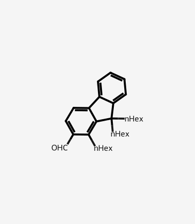 CCCCCCc1c(C=O)ccc2c1C(CCCCCC)(CCCCCC)c1ccccc1-2